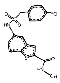 O=C(NO)c1cc2cc(NS(=O)(=O)Cc3ccc(Cl)cc3)ccc2s1